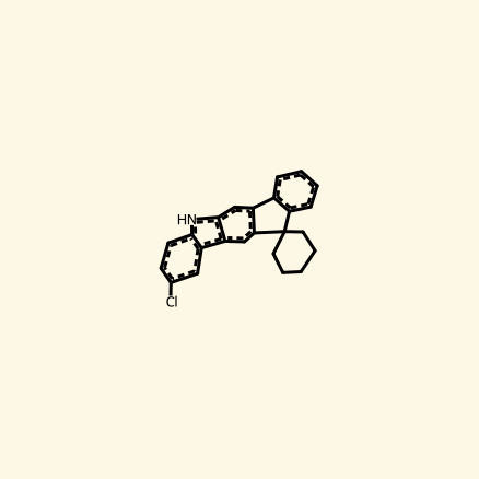 Clc1ccc2[nH]c3cc4c(cc3c2c1)C1(CCCCC1)c1ccccc1-4